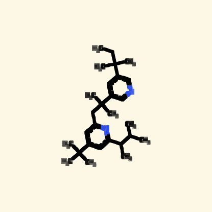 CCC(C)(C)c1cncc(C(C)(C)Cc2cc(C(C)(C)C)cc(C(C)C(C)C)n2)c1